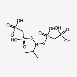 CC(C)N(SP(=O)(O)CP(=O)(O)O)SP(=O)(O)CP(=O)(O)O